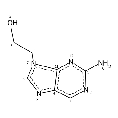 Nc1ncc2ncn(CCO)c2n1